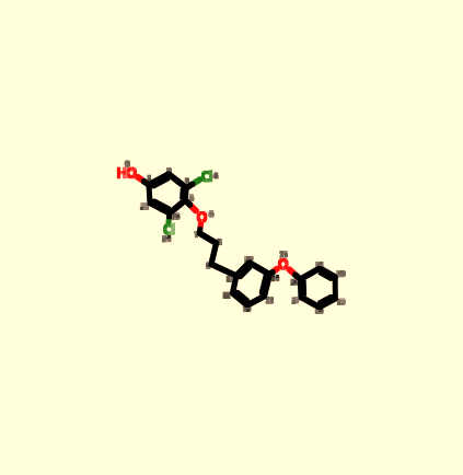 Oc1cc(Cl)c(OCCCc2cccc(Oc3ccccc3)c2)c(Cl)c1